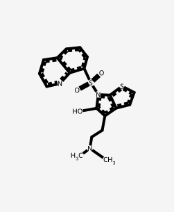 CN(C)CCc1c(O)n(S(=O)(=O)c2cccc3cccnc23)c2sccc12